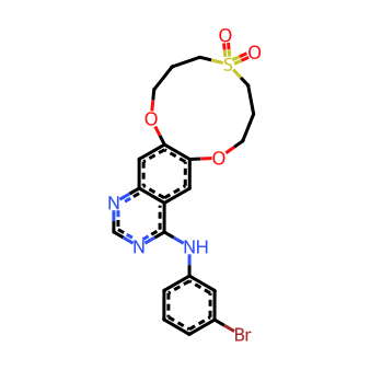 O=S1(=O)CCCOc2cc3ncnc(Nc4cccc(Br)c4)c3cc2OCCC1